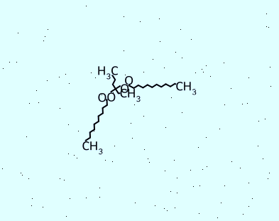 CCCCCCCCCCCC(=O)OCC(CC)(CCCC)COC(=O)CCCCCCCCCCC